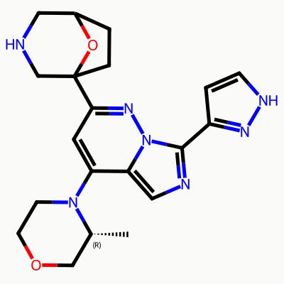 C[C@@H]1COCCN1c1cc(C23CCC(CNC2)O3)nn2c(-c3cc[nH]n3)ncc12